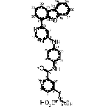 CC(C)(C)N(Cc1ccnc(C(=O)Nc2ccc(Nc3cc(-c4cccc5c4oc4ccccc45)ncn3)cc2)c1)C(=O)O